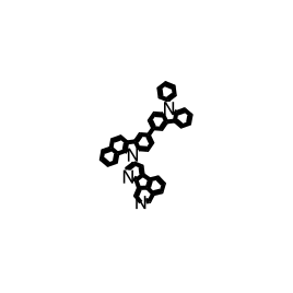 c1ccc(-n2c3ccccc3c3cc(-c4ccc5c(c4)c4ccc6ccccc6c4n5-c4cnc5c(c4)-c4cccc6cncc-5c46)ccc32)cc1